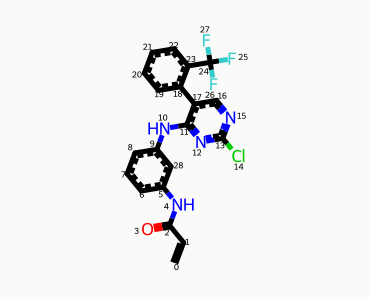 C=CC(=O)Nc1cccc(Nc2nc(Cl)ncc2-c2ccccc2C(F)(F)F)c1